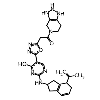 C=C(C)C1CC=CC2=C1CC(Nc1ncc(-c3nnc(CC(=O)N4CCC5=C(C4)NNN5)o3)c(O)n1)C2